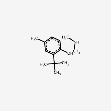 CNC.Cc1ccc(O)c(C(C)(C)C)c1